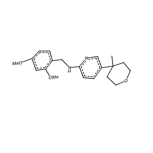 COc1ccc(CNc2ccc(C3(C)CCOCC3)cn2)c(OC)c1